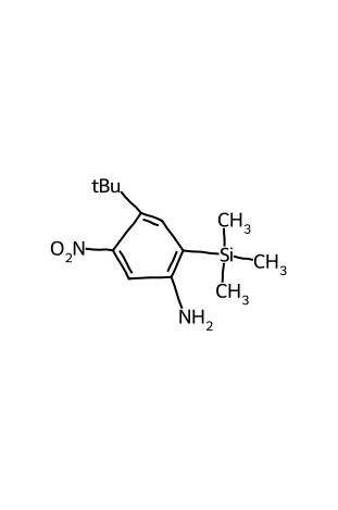 CC(C)(C)c1cc([Si](C)(C)C)c(N)cc1[N+](=O)[O-]